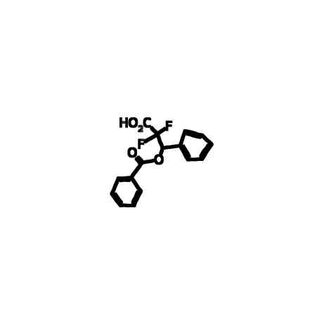 O=C(OC(c1ccccc1)C(F)(F)C(=O)O)c1ccccc1